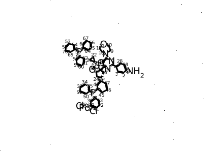 Nc1ccc(-c2nc(N3CCOCC3)cc(C3(S(=O)(=O)C4CC4)CCCC3)n2)cc1.[Cl][Pd][Cl].c1ccc(P(c2ccccc2)c2ccccc2)cc1.c1ccc(P(c2ccccc2)c2ccccc2)cc1